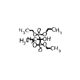 CCOP(=O)(OCC)C(C)(O)P(=O)(OCC)OCC